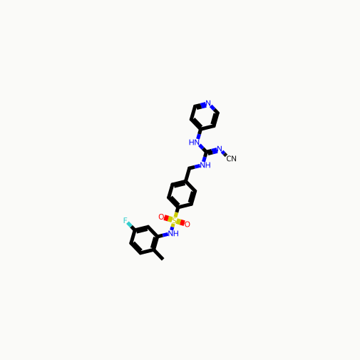 Cc1ccc(F)cc1NS(=O)(=O)c1ccc(CN/C(=N\C#N)Nc2ccncc2)cc1